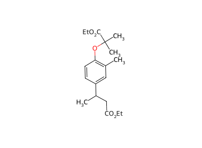 CCOC(=O)CC(C)c1ccc(OC(C)(C)C(=O)OCC)c(C)c1